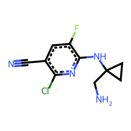 N#Cc1cc(F)c(NC2(CN)CC2)nc1Cl